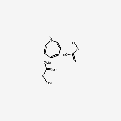 C1=CC=CNC=C1.CCCCOC(=O)OC.COC(=O)O